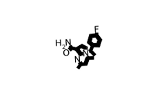 CC1=CC(C)=NC2=C(C(N)=O)C=C[N+]12C(C)c1ccc(F)cc1